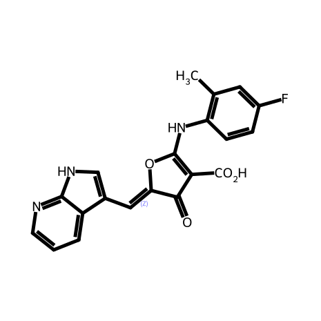 Cc1cc(F)ccc1NC1=C(C(=O)O)C(=O)/C(=C/c2c[nH]c3ncccc23)O1